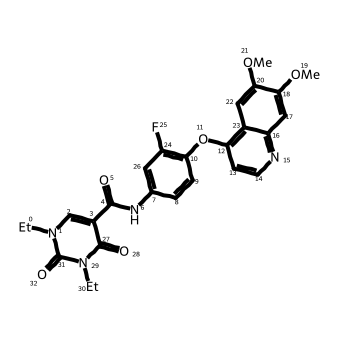 CCn1cc(C(=O)Nc2ccc(Oc3ccnc4cc(OC)c(OC)cc34)c(F)c2)c(=O)n(CC)c1=O